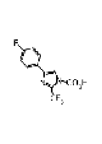 O=C(O)n1cc(-c2ccc(F)cc2)nc1C(F)(F)F